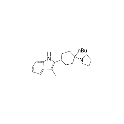 CCCCC1(N2CCCC2)CCC(c2[nH]c3ccccc3c2C)CC1